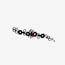 COCOc1ccc(C(=O)Oc2ccc(C(c3ccc(OC(=O)c4ccc(OCOC)cc4)cc3)(C(F)(F)F)C(F)(F)F)cc2)cc1